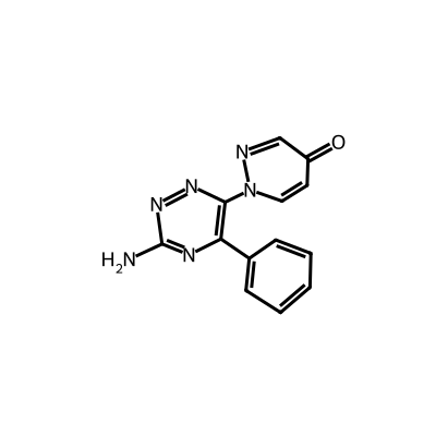 Nc1nnc(-n2ccc(=O)cn2)c(-c2ccccc2)n1